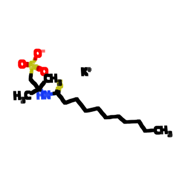 CCCCCCCCCCC(=S)NC(C)(C)CS(=O)(=O)[O-].[K+]